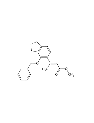 COC(=O)C=C(C)c1ccc2c(c1OCc1ccccc1)CCC2